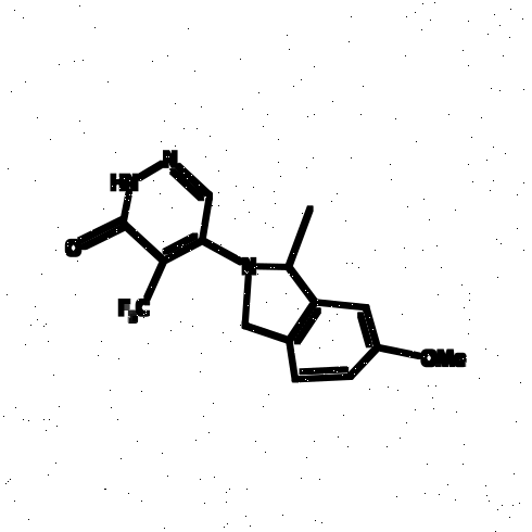 COc1ccc2c(c1)C(C)N(c1cn[nH]c(=O)c1C(F)(F)F)C2